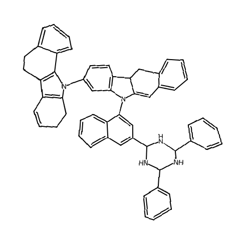 C1=Cc2c3c(n(-c4ccc5c(c4)N(c4cc(C6NC(c7ccccc7)NC(c7ccccc7)N6)cc6ccccc46)C4=Cc6ccccc6CC45)c2CC1)-c1ccccc1CC3